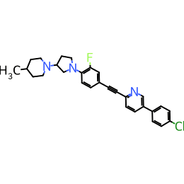 CC1CCN(C2CCN(c3ccc(C#Cc4ccc(-c5ccc(Cl)cc5)cn4)cc3F)C2)CC1